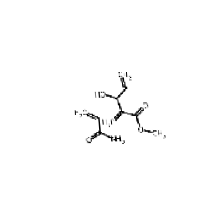 C=CC(N)=O.C=CC(O)C(=C)C(=O)OC